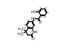 CC1(C)CC(=O)Nc2cc(NC(=O)c3ccccc3O)ccc21